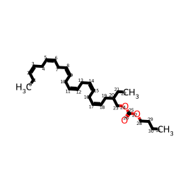 CC/C=C\C/C=C\C/C=C\C/C=C\C/C=C\C/C=C\CC(CC)COC(=O)OCCCC